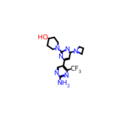 Nc1ncc(-c2cc(N3CCC3)nc(N3CCC(O)CC3)n2)c(C(F)(F)F)n1